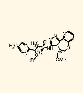 COC[C@H]1COc2cccnc2-c2nnc(NS(=O)(=O)[C@@H](C)[C@@H](OC(C)C)c3ncc(C)cn3)n21